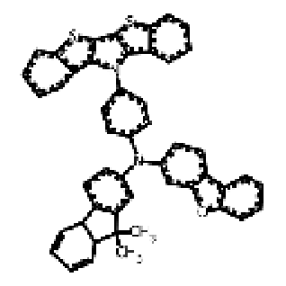 CC1(C)c2cc(N(c3ccc(-n4c5c6ccccc6sc5c5sc6ccccc6c54)cc3)c3ccc4c(c3)oc3ccccc34)ccc2C2C=CC=CC21